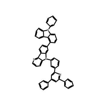 c1ccc(-c2cc(-c3ccccc3)nc(-c3cccc(-n4c5cc(-c6cccc7c6c6ccccc6n7-c6ccccc6)ccc5c5ncccc54)c3)c2)cc1